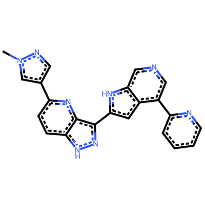 Cn1cc(-c2ccc3[nH]nc(-c4cc5c(-c6ccccn6)cncc5[nH]4)c3n2)cn1